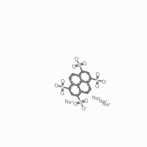 O=S(=O)([O-])c1cc(S(=O)(=O)[O-])c2ccc3c(S(=O)(=O)[O-])cc(S(=O)(=O)[O-])c4ccc1c2c43.[Na+].[Na+].[Na+].[Na+]